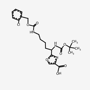 CC(C)(C)OC(=O)NC(CCCCNC(=O)OCc1ccccc1Cl)c1nc(C(=O)O)co1